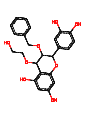 OCCOC1c2c(O)cc(O)cc2OC(c2ccc(O)c(O)c2)C1OCc1ccccc1